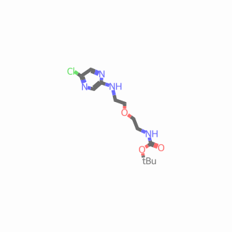 CC(C)(C)OC(=O)NCCOCCNc1cnc(Cl)cn1